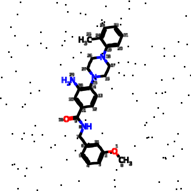 COc1cccc(CNC(=O)c2ccc(N3CCN(c4ccccc4C)CC3)c(N)c2)c1